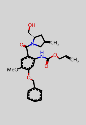 C=CCOC(=O)Nc1cc(OCc2ccccc2)c(OC)cc1C(=O)N1CC(=C)C[C@H]1CO